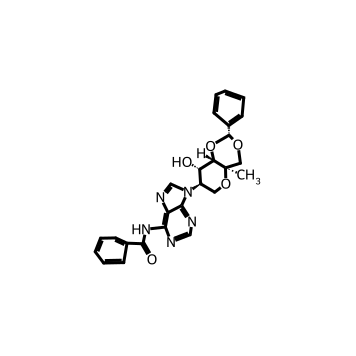 C[C@@]12CO[C@@H](c3ccccc3)O[C@H]1[C@@H](O)[C@H](n1cnc3c(NC(=O)c4ccccc4)ncnc31)CO2